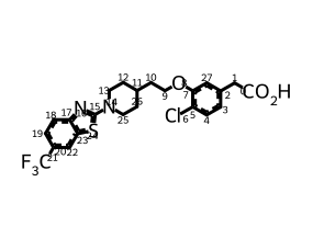 O=C(O)Cc1ccc(Cl)c(OCCC2CCN(c3nc4ccc(C(F)(F)F)cc4s3)CC2)c1